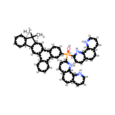 CC1(C)c2ccccc2-c2cc3c4ccccc4c4cc(P(=O)(c5ccc6ccc7cccnc7c6n5)c5ccc6ccc7cccnc7c6n5)ccc4c3cc21